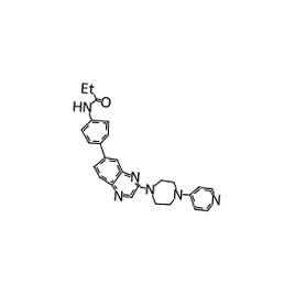 CCC(=O)Nc1ccc(-c2ccc3ncc(N4CCN(c5ccncc5)CC4)nc3c2)cc1